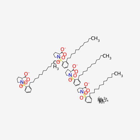 CCCCCCCCCCCCc1ccccc1S(=O)(=O)N1CCC[C@H]1C(=O)[O-].CCCCCCCCCCCCc1ccccc1S(=O)(=O)N1CCC[C@H]1C(=O)[O-].CCCCCCCCCCCCc1ccccc1S(=O)(=O)N1CCC[C@H]1C(=O)[O-].CCCCCCCCCCCCc1ccccc1S(=O)(=O)N1CCC[C@H]1C(=O)[O-].[Rh+2].[Rh+2]